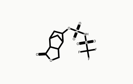 O=C1OCC2C3CC(CC3OS(=O)(=O)NS(=O)(=O)C(F)(F)F)C12